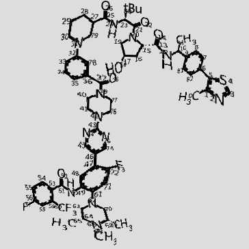 Cc1ncsc1-c1ccc([C@H](C)NC(=O)[C@@H]2C[C@@H](O)CN2C(=O)[C@@H](NC(=O)C2CCCN(c3cccc(C(=O)N4CCN(c5ncc(-c6cc(NC(=O)c7ccc(F)cc7C(F)(F)F)c(N7C[C@@H](C)N(C)[C@@H](C)C7)cc6F)cn5)CC4)c3)C2)C(C)(C)C)cc1